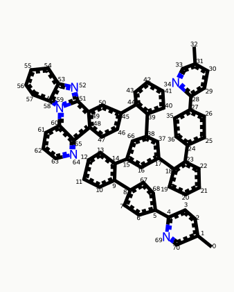 Cc1ccc(-c2ccc(-c3ccccc3-c3cc(-c4ccccc4-c4ccc(-c5ccc(C)cn5)cc4)cc(-c4ccccc4-c4ccc5c(c4)c4nc6ccccc6n4c4cccnc54)c3)cc2)nc1